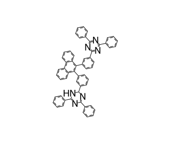 c1ccc(C2=NC(c3cccc(-c4c(-c5cccc(-c6nc(-c7ccccc7)nc(-c7ccccc7)n6)c5)c5ccccc5c5ccccc45)c3)NC(c3ccccc3)=N2)cc1